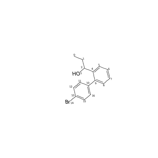 CCC(O)c1ccccc1-c1ccc(Br)cc1